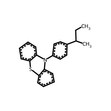 CCC(C)c1ccc(N2c3ccccc3Sc3ccccc32)cc1